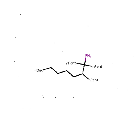 CCCCCCCCCCCCCCC(CCCCC)C(P)(CCCCC)CCCCC